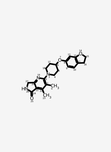 Cc1c(N2CCC(Oc3ccc4c(c3)OCC4)CC2)nc2c(c1C)C(=O)NC2